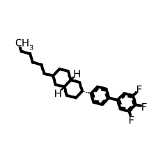 CCCCCCC1CC[C@@H]2C[C@H](c3ccc(-c4cc(F)c(F)c(F)c4)cc3)CC[C@@H]2C1